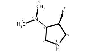 CN(C)[C@H]1CNC[C@@H]1F